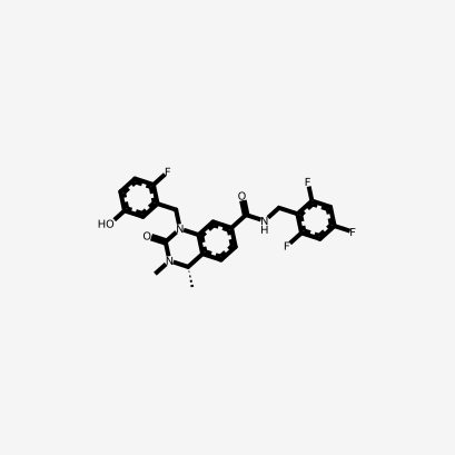 C[C@H]1c2ccc(C(=O)NCc3c(F)cc(F)cc3F)cc2N(Cc2cc(O)ccc2F)C(=O)N1C